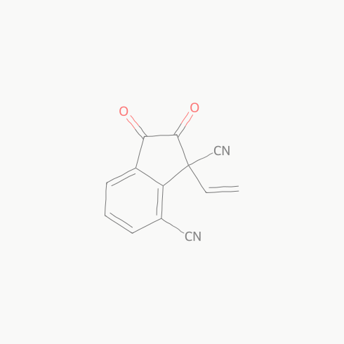 C=CC1(C#N)C(=O)C(=O)c2cccc(C#N)c21